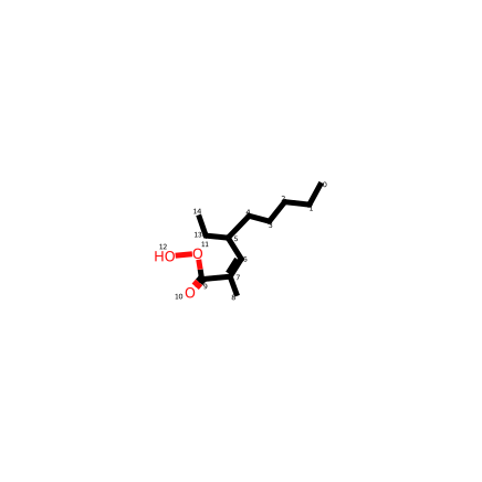 CCCCCC(C=C(C)C(=O)OO)CC